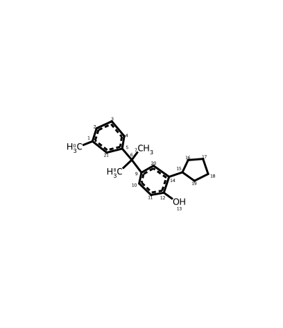 Cc1cccc(C(C)(C)c2ccc(O)c(C3CCCC3)c2)c1